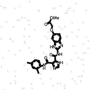 COC(=O)COc1ccc2nc(NC(=O)c3[nH]cnc3C(=O)Nc3ccc(C)cc3C)[nH]c2c1